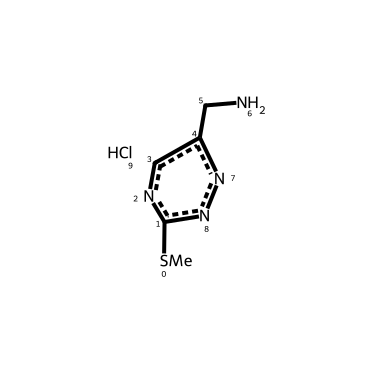 CSc1ncc(CN)nn1.Cl